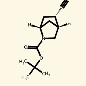 CC(C)(C)OC(=O)N1C[C@@H]2C[C@H]1C[C@@H]2C#N